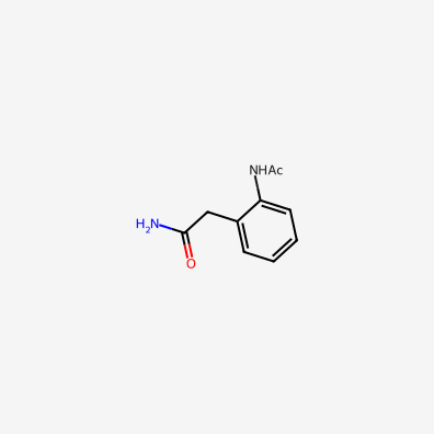 CC(=O)Nc1ccccc1CC(N)=O